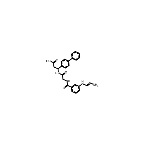 NN=CNc1cccc(C(=O)NCC(=O)NC(CC(=O)O)c2ccc(-c3ccccc3)cc2)c1